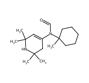 CC1(C)C=C(N(C=O)C2(C)CCCCC2)CC(C)(C)N1